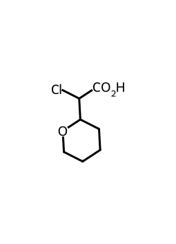 O=C(O)C(Cl)C1CCCCO1